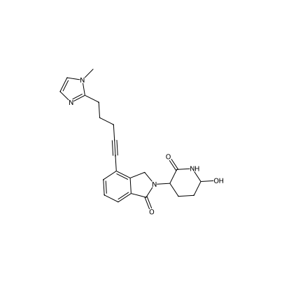 Cn1ccnc1CCCC#Cc1cccc2c1CN(C1CCC(O)NC1=O)C2=O